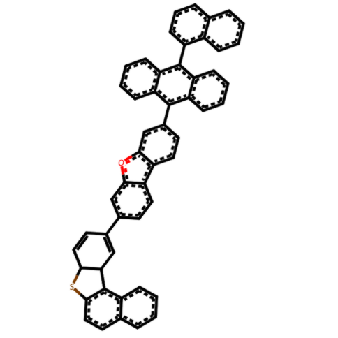 C1=CC2Sc3ccc4ccccc4c3C2C=C1c1ccc2c(c1)oc1cc(-c3c4ccccc4c(-c4cccc5ccccc45)c4ccccc34)ccc12